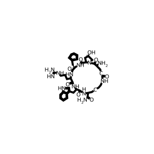 N=C(N)NCCCC1NC(=O)[C@@H](Cc2ccccc2)NC(=O)C2C[C@@H](O)CN2C(=O)C(N)CCC(=O)NCCCCC(C(N)=O)NC(=O)C(Cc2c[nH]c3ccccc23)NC1=O